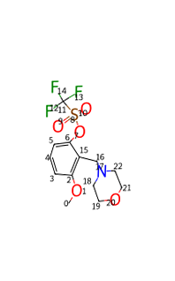 COc1cccc(OS(=O)(=O)C(F)(F)F)c1CN1CCOCC1